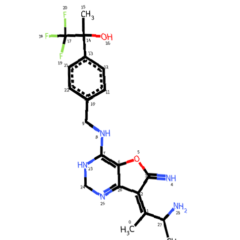 C/C(=C1/C(=N)OC2=C(NCc3ccc(C(C)(O)C(F)(F)F)cc3)NCN=C21)C(C)N